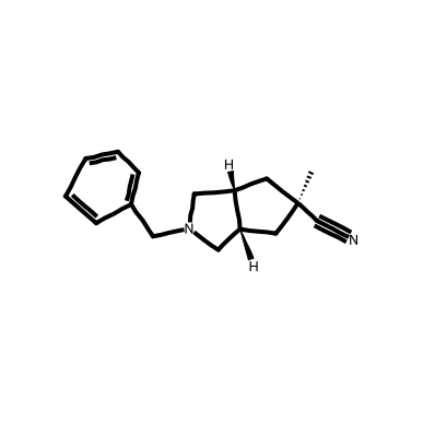 C[C@@]1(C#N)C[C@H]2CN(Cc3ccccc3)C[C@H]2C1